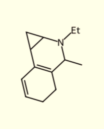 CCN1C(C)C2=C(C=CCC2)C2CC21